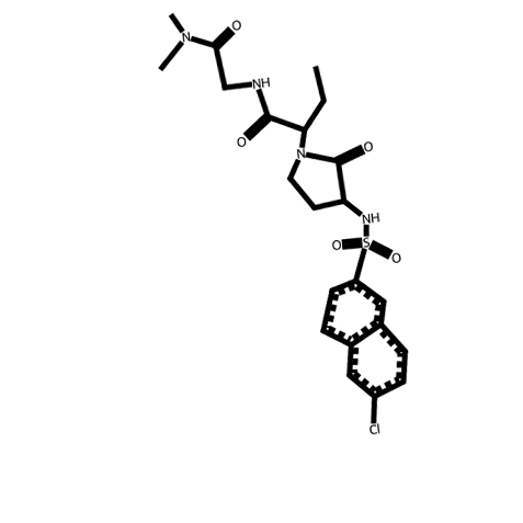 CCC(C(=O)NCC(=O)N(C)C)N1CCC(NS(=O)(=O)c2ccc3cc(Cl)ccc3c2)C1=O